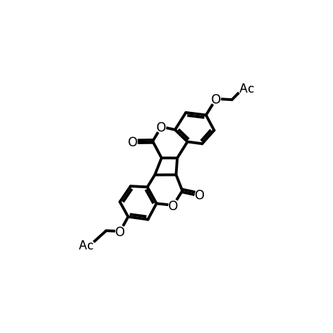 CC(=O)COc1ccc2c(c1)OC(=O)C1C2C2C(=O)Oc3cc(OCC(C)=O)ccc3C12